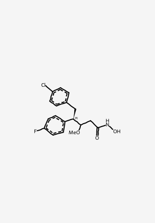 COC(CC(=O)NO)[C@H](Cc1ccc(Cl)cc1)c1ccc(F)cc1